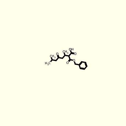 CC(C)CC(=O)CC(C)C(C(=O)O)C(=O)OCc1ccccc1